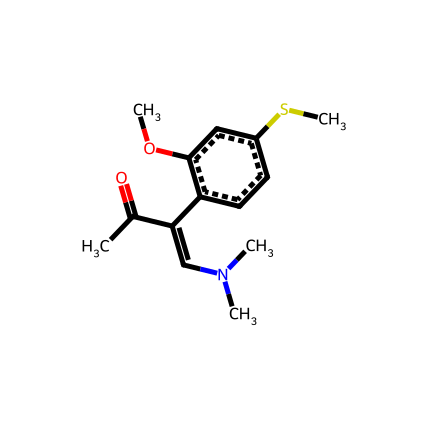 COc1cc(SC)ccc1/C(=C\N(C)C)C(C)=O